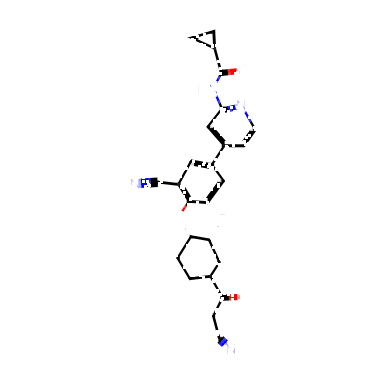 N#CCC(=O)C1CC[C@H](Oc2ccc(-c3ccnc(NC(=O)C4CC4)c3)cc2C#N)[C@H](F)C1